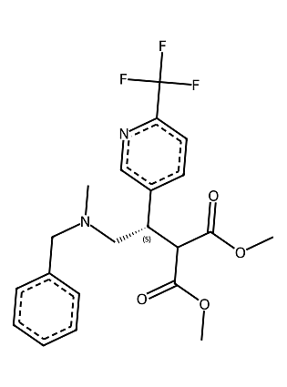 COC(=O)C(C(=O)OC)[C@H](CN(C)Cc1ccccc1)c1ccc(C(F)(F)F)nc1